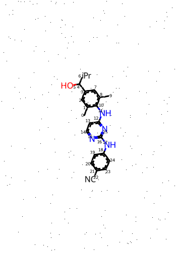 Cc1cc(C(O)C(C)C)cc(C)c1Nc1ccnc(Nc2ccc(C#N)cc2)n1